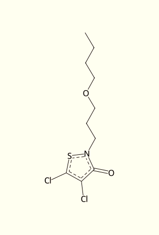 CCCCOCCCn1sc(Cl)c(Cl)c1=O